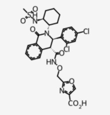 CS(=O)(=O)N[C@H]1CCCC[C@@H]1N1C(=O)c2ccccc2[C@@H](C(=O)NOCc2nc(C(=O)O)co2)[C@@H]1c1ccc(Cl)cc1Cl